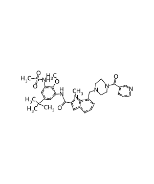 COc1c(NC(=O)c2cc3cccc(CN4CCN(C(=O)c5cccnc5)CC4)c3n2C)cc(C(C)(C)C)cc1NS(C)(=O)=O